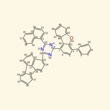 c1ccc(-c2ccc(-c3nc(-c4cccc5ccccc45)nc(-c4ccc5c6c(cccc46)-c4ccccc4-5)n3)c3c2oc2ccccc23)cc1